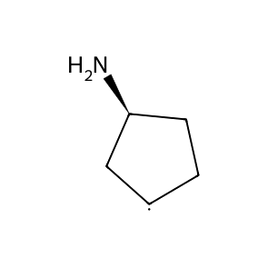 N[C@@H]1C[CH]CC1